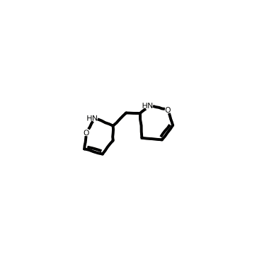 C1=CONC(CC2CC=CON2)C1